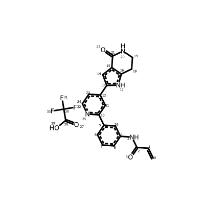 C=CC(=O)Nc1cccc(-c2cc(-c3cc4c([nH]3)CCNC4=O)ccn2)c1.O=C(O)C(F)(F)F